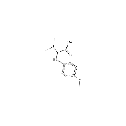 CSc1ccc(NC(C(=O)O)C(C)C)cc1